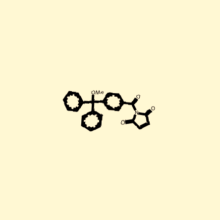 COC(c1ccccc1)(c1ccccc1)c1ccc(C(=O)N2C(=O)C=CC2=O)cc1